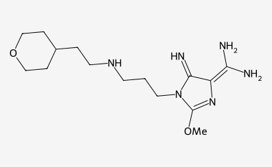 COC1=NC(=C(N)N)C(=N)N1CCCNCCC1CCOCC1